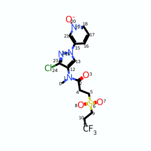 CN(C(=O)CCS(=O)(=O)CCC(F)(F)F)c1cn(-c2ccc[n+]([O-])c2)nc1Cl